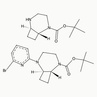 CC(C)(C)OC(=O)N1CCN(c2cccc(Br)n2)[C@@H]2CC[C@H]21.CC(C)(C)OC(=O)N1CCN[C@@H]2CC[C@H]21